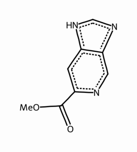 COC(=O)c1cc2[nH]cnc2cn1